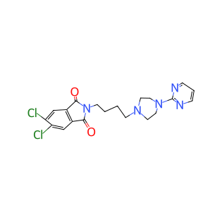 O=C1c2cc(Cl)c(Cl)cc2C(=O)N1CCCCN1CCN(c2ncccn2)CC1